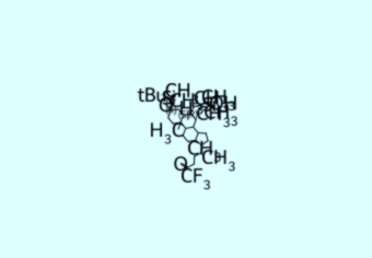 CC(CCC(=O)C(F)(F)F)C1CCC2C3C[C@H](CC(C)(C)[Si](C)(C)O)[C@@H]4C[C@H](O[Si](C)(C)C(C)(C)C)CCC4(C)C3CCC12C